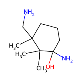 CC1(CN)CCCC(N)(O)C1(C)C